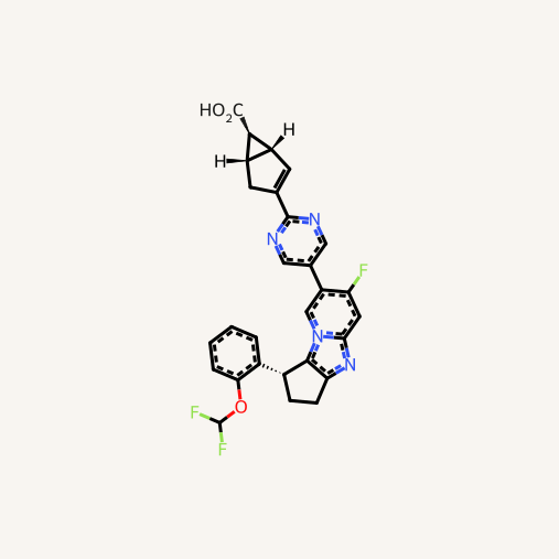 O=C(O)[C@H]1[C@@H]2C=C(c3ncc(-c4cn5c6c(nc5cc4F)CC[C@@H]6c4ccccc4OC(F)F)cn3)C[C@@H]21